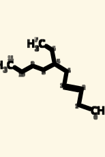 CCC=CCC(CC)CCCC